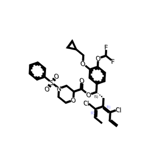 C=C/C(Cl)=C(C[C@H](OC(=O)C1CN(S(=O)(=O)c2ccccc2)CCO1)c1ccc(OC(F)F)c(OCC2CC2)c1)\C(Cl)=C/C